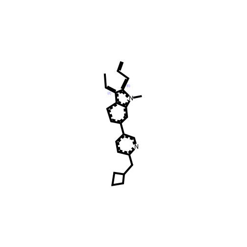 C=C/C=c1\c(=C/C)c2ccc(-c3ccc(CC4CCC4)nc3)cc2n1C